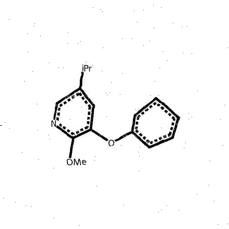 COc1ncc(C(C)C)cc1Oc1ccccc1